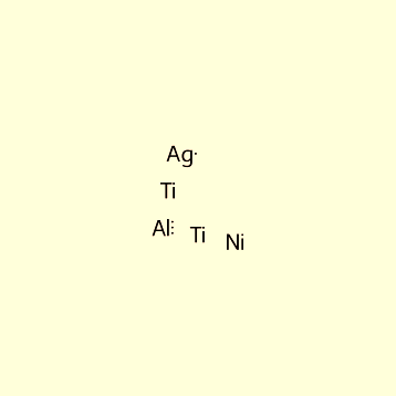 [Ag].[Al].[Ni].[Ti].[Ti]